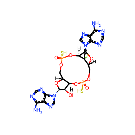 Nc1ncnc2c1ncn2[C@@H]1O[C@@H]2CO[P@@](=O)(S)O[C@@H]3[C@H](F)[C@@H](CO[P@@](=O)(S)O[C@H]2[C@H]1O)O[C@H]3n1cnc2c(N)ncnc21